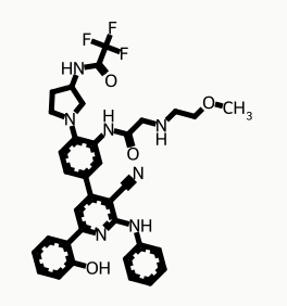 COCCNCC(=O)Nc1cc(-c2cc(-c3ccccc3O)nc(Nc3ccccc3)c2C#N)ccc1N1CCC(NC(=O)C(F)(F)F)C1